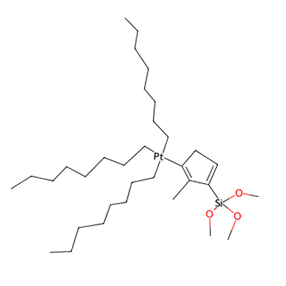 CCCCCCC[CH2][Pt]([CH2]CCCCCCC)([CH2]CCCCCCC)[C]1=C(C)C([Si](OC)(OC)OC)=CC1